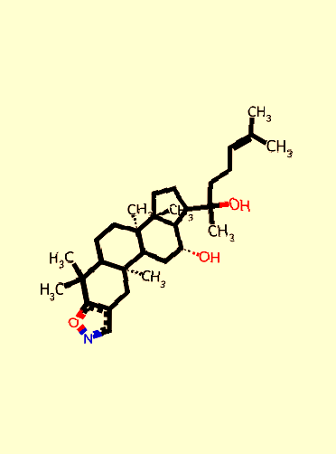 CC(C)=CCCC(C)(O)C1CC[C@]2(C)C1[C@H](O)CC1[C@@]3(C)Cc4cnoc4C(C)(C)C3CC[C@]12C